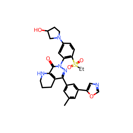 CCS(=O)(=O)c1ccc(N2CCC(O)C2)cc1-n1nc(-c2cc(C)cc(-c3cnco3)c2)c2c(c1=O)NCCC2